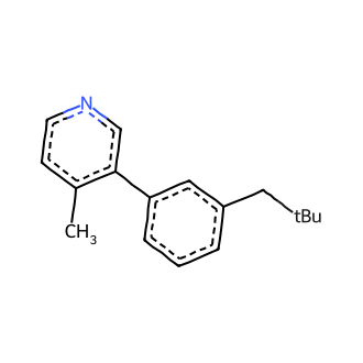 Cc1ccncc1-c1cccc(CC(C)(C)C)c1